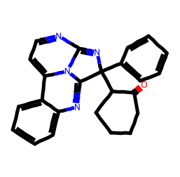 O=C1CCCCC1C1(c2ccccc2)N=C2N=CC=C3c4ccccc4N=C1N32